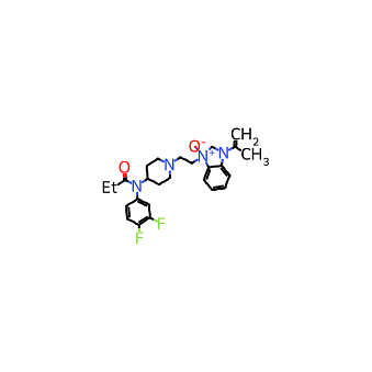 C=C(C)N1C[N+]([O-])(CCN2CCC(N(C(=O)CC)c3ccc(F)c(F)c3)CC2)c2ccccc21